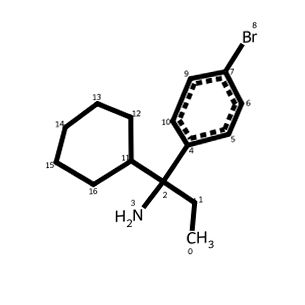 C[CH]C(N)(c1ccc(Br)cc1)C1CCCCC1